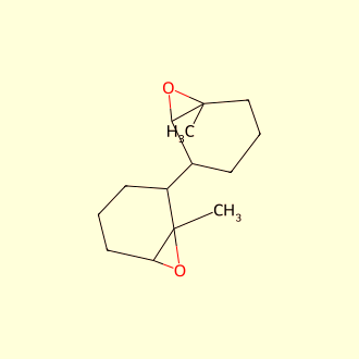 CC12CCCC(C3CCCC4OC43C)C1O2